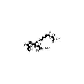 C/C=C(\NC(=O)[C@@H](CSSCC/C=C/[C@H](C)OC(=O)[C@@H](C)C(C)C)NC(=O)[C@H](NC(C)=O)C(C)C)C(N)=O